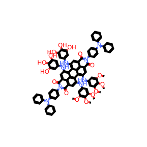 COc1cc(Nc2cc3c4c(cc(Nc5cc(O)c(O)c(O)c5)c5c6c(Nc7cc(O)c(O)c(O)c7)cc7c8c(cc(Nc9cc(OC)c(OC)c(OC)c9)c(c2c45)c86)C(=O)N(c2ccc(N(c4ccccc4)c4ccccc4)cc2)C7=O)C(=O)N(c2ccc(N(c4ccccc4)c4ccccc4)cc2)C3=O)cc(OC)c1OC